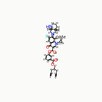 C#CCC(CC#C)COC(=O)c1cccc(OC(=O)c2cn(C3CC3)c3c(OC)c(N4C[C@@H]5CCCN[C@@H]5C4)c(F)cc3c2=O)c1